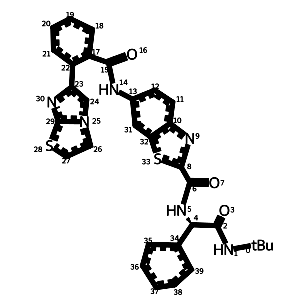 CC(C)(C)NC(=O)[C@@H](NC(=O)c1nc2ccc(NC(=O)c3ccccc3-c3cn4ccsc4n3)cc2s1)c1ccccc1